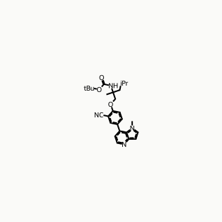 CC(C)CC(C)(COc1ccc(-c2ccnc3ccn(C)c23)cc1C#N)NC(=O)OC(C)(C)C